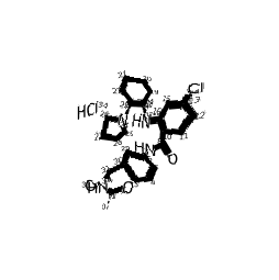 C[C@H]1Oc2ccc(NC(=O)c3ccc(Cl)cc3N[C@@H]3CCCC[C@@H]3N3CCCC3)cc2C[NH+]1[O-].Cl